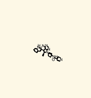 C#Cc1c(-c2cnc3ccccc3c2)c2c(N)ncnc2n1C12CCC(NC(=O)c3ccncc3)(CC1)C2